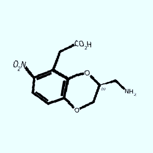 NC[C@H]1COc2ccc([N+](=O)[O-])c(CC(=O)O)c2O1